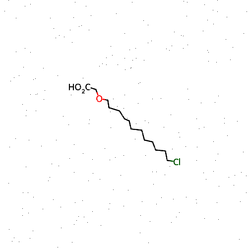 O=C(O)COCCCCCCCCCCCCCl